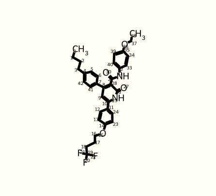 CCCCc1ccc(-c2cc(-c3ccc(OCCCC(F)(F)F)cc3)[nH]c(=O)c2C(=O)Nc2ccc(OCC)cc2)cc1